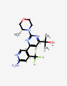 C[C@@H]1COCCN1c1nc(-c2cnc(N)cc2C(F)(F)F)cc(C(C)(C)O)n1